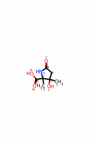 CC1(O)CC(=O)NC1(C)C(=O)O